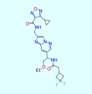 CCOCC(NC(=O)CC1CC(F)(F)C1)c1cnn2cc(CNC(=O)c3nonc3C3CC3)nc2c1